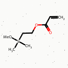 C=CC(=O)OCC[Si](C)(C)OC